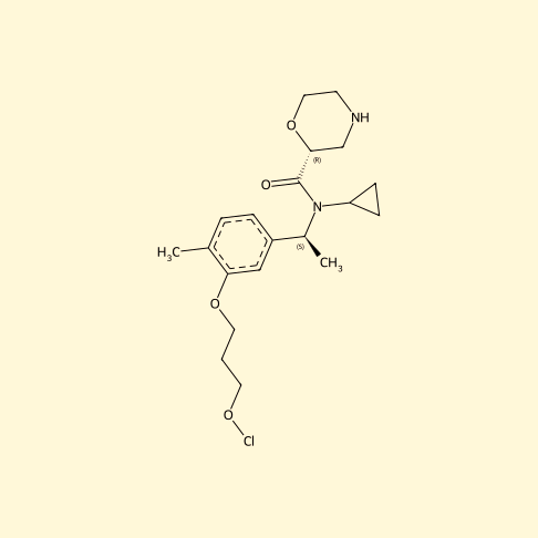 Cc1ccc([C@H](C)N(C(=O)[C@H]2CNCCO2)C2CC2)cc1OCCCOCl